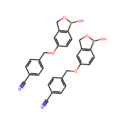 N#Cc1ccc(COc2ccc3c(c2)COB3O)cc1.N#Cc1ccc(COc2ccc3c(c2)COB3O)cc1